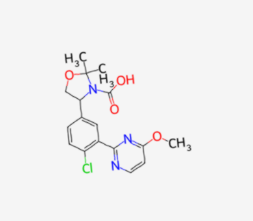 COc1ccnc(-c2cc(C3COC(C)(C)N3C(=O)O)ccc2Cl)n1